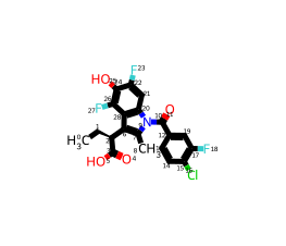 CC[C@H](C(=O)O)c1c(C)n(C(=O)c2ccc(Cl)c(F)c2)c2cc(F)c(O)c(F)c12